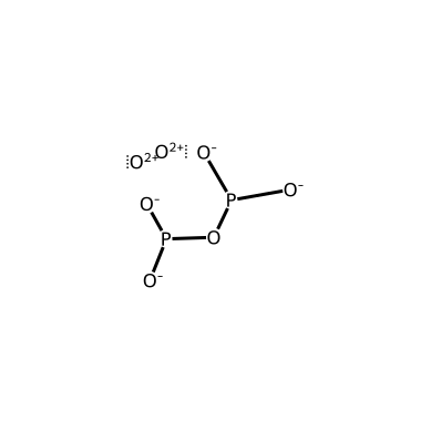 [O+2].[O+2].[O-]P([O-])OP([O-])[O-]